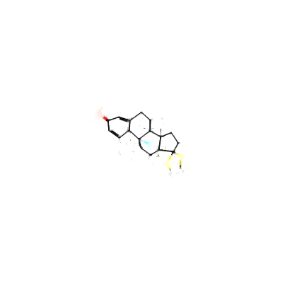 CCCCSC1(SCC)CC[C@H]2[C@@H]3CCC4=CC(=O)C=C[C@]4(C)[C@@]3(F)[C@@H](OC(C)=O)C[C@@]21C